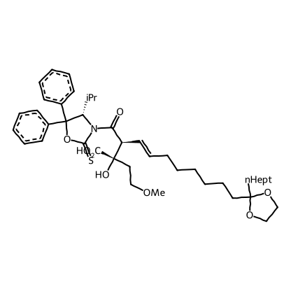 CCCCCCCC1(CCCCCCC=C[C@H](C(=O)N2C(=S)OC(c3ccccc3)(c3ccccc3)[C@@H]2C(C)C)[C@@](O)(CCOC)C(=O)O)OCCO1